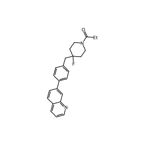 CCC(=O)N1CCC(F)(Cc2ccc(-c3ccc4cccnc4c3)cc2)CC1